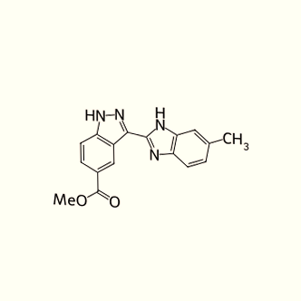 COC(=O)c1ccc2[nH]nc(-c3nc4ccc(C)cc4[nH]3)c2c1